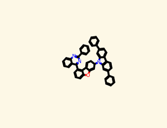 C1=c2oc3cccc(-c4nc(-c5ccccc5)nc5ccccc45)c3c2=CCC1n1c2cc(-c3ccccc3)ccc2c2ccc(-c3ccccc3)cc21